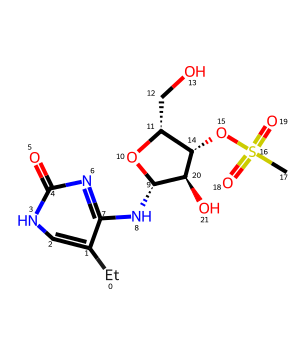 CCc1c[nH]c(=O)nc1N[C@@H]1O[C@H](CO)[C@H](OS(C)(=O)=O)[C@H]1O